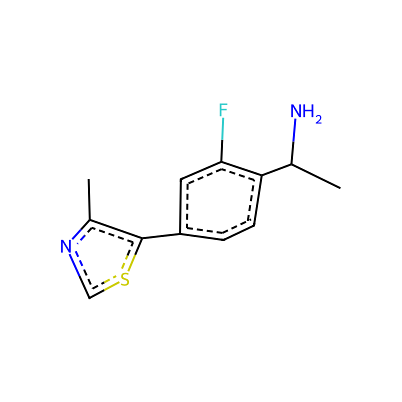 Cc1ncsc1-c1ccc(C(C)N)c(F)c1